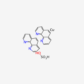 O=S(=O)(O)O.[Cu].c1cnc2c(c1)ccc1cccnc12.c1cnc2c(c1)ccc1cccnc12